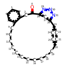 O=C1Cc2ccccc2CCCCCCCCCCCc2ccc(cc2)-c2cc1nnn2